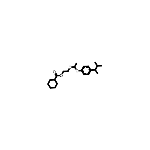 CC(OCCOC(=O)C1CCCCC1)Oc1ccc(C(C)C(C)C)cc1